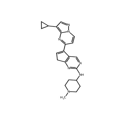 CN1CCC(Nc2ncc3c(n2)CC=C3c2ccn3ncc(C4CC4)c3n2)CC1